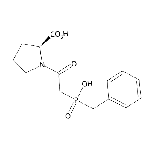 O=C(O)[C@@H]1CCCN1C(=O)CP(=O)(O)Cc1ccccc1